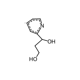 OCCC(O)c1c[c]ccn1